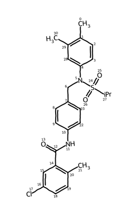 Cc1ccc(N(Cc2ccc(NC(=O)c3cc(Cl)ccc3C)cc2)S(=O)(=O)C(C)C)cc1C